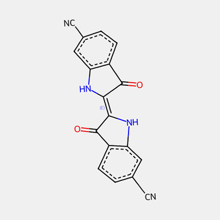 N#Cc1ccc2c(c1)N/C(=C1/Nc3cc(C#N)ccc3C1=O)C2=O